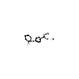 CCCCCCCC(=NO)c1ccc(Sc2ccccc2CC)cc1